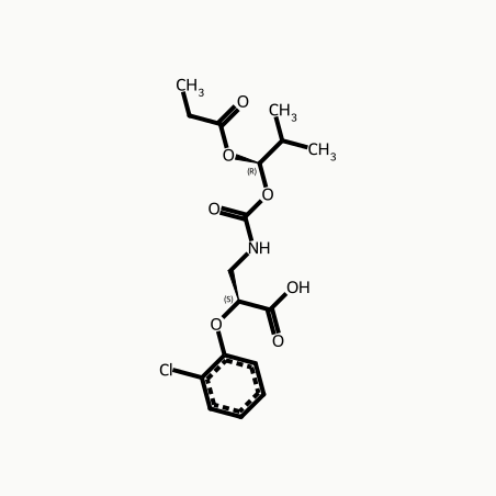 CCC(=O)O[C@H](OC(=O)NC[C@H](Oc1ccccc1Cl)C(=O)O)C(C)C